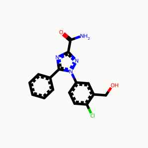 NC(=O)c1nc(-c2ccccc2)n(-c2ccc(Cl)c(CO)c2)n1